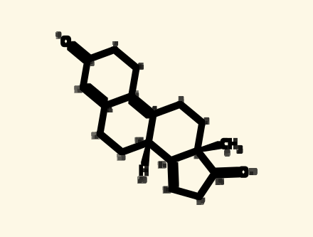 C[C@]12CCC3=C4CCC(=O)C=C4CC[C@H]3C1=CCC2=O